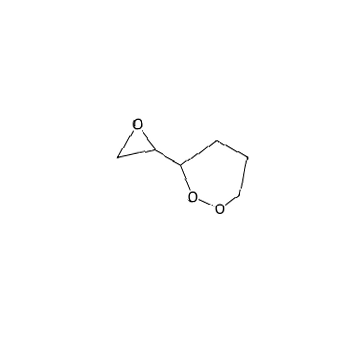 C1COOC(C2CO2)C1